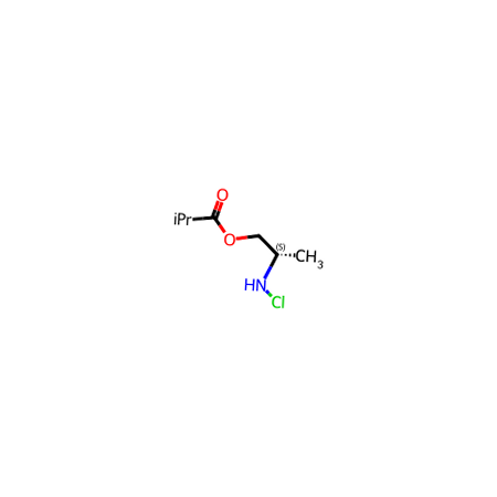 CC(C)C(=O)OC[C@H](C)NCl